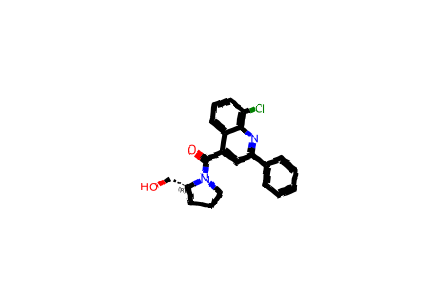 O=C(c1cc(-c2ccccc2)nc2c(Cl)cccc12)N1CCC[C@@H]1CO